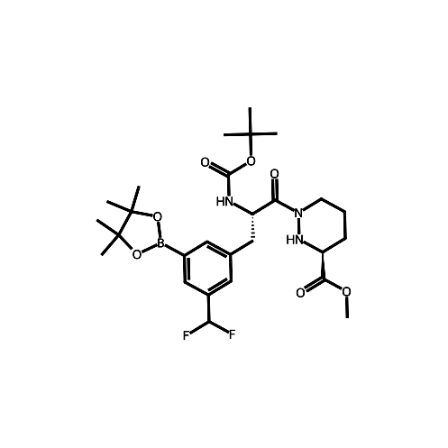 COC(=O)[C@@H]1CCCN(C(=O)[C@H](Cc2cc(B3OC(C)(C)C(C)(C)O3)cc(C(F)F)c2)NC(=O)OC(C)(C)C)N1